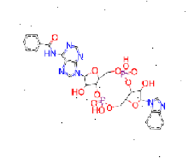 O=C(Nc1ncnc2c1ncn2C1OC2COP(=O)(O)OC3C(COP(=O)(O)OC2C1O)OC(n1cnc2ccccc21)C3O)c1ccccc1